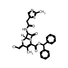 CC1=C(C(=O)OC(c2ccccc2)c2ccccc2)N2C(=O)C(NC(=O)Cc3cnc(C)s3)[C@H]2S/C1=C\Cl